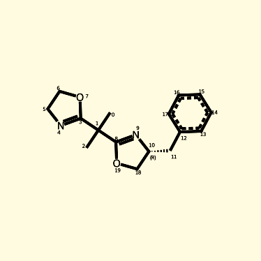 CC(C)(C1=NCCO1)C1=N[C@H](Cc2ccccc2)CO1